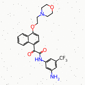 Nc1cc(NC(=O)C(=O)c2ccc(OCCN3CCOCC3)c3ccccc23)cc(C(F)(F)F)c1